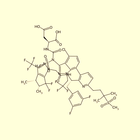 C[C@@H]1c2c(C(F)(F)F)nn(CC(=O)N[C@@H](Cc3cc(F)cc(F)c3)c3nc(CCC(C)(C)S(C)(=O)=O)ccc3-c3ccc(Cl)c4c(N(C(=O)N[C@@H](CC(=O)O)C(=O)O)S(C)(=O)=O)nn(CC(F)(F)F)c34)c2C(F)(F)[C@@H]1C